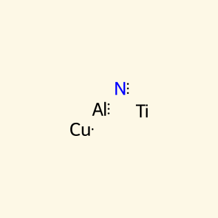 [Al].[Cu].[N].[Ti]